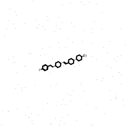 CC[C@H]1CC[C@H](C2CCC(/C=C/[C@H]3CC[C@H](CCc4ccc(F)cc4)CC3)CC2)CC1